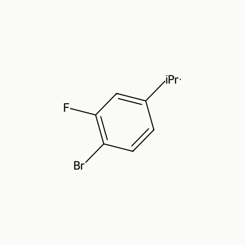 C[C](C)c1ccc(Br)c(F)c1